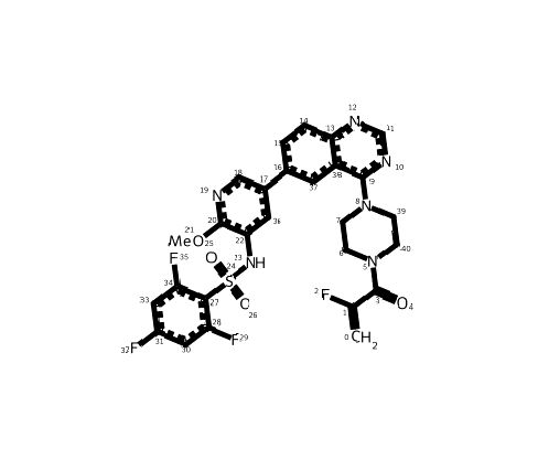 C=C(F)C(=O)N1CCN(c2ncnc3ccc(-c4cnc(OC)c(NS(=O)(=O)c5c(F)cc(F)cc5F)c4)cc23)CC1